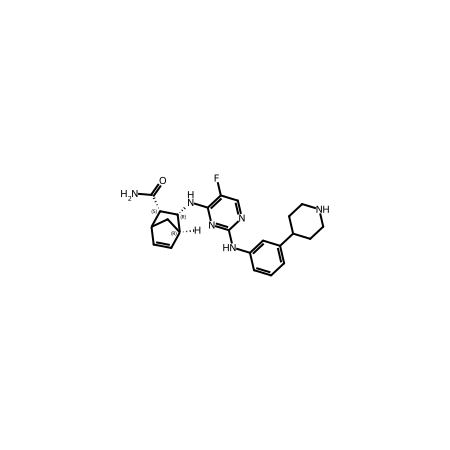 NC(=O)[C@H]1C2C=C[C@@H](C2)[C@H]1Nc1nc(Nc2cccc(C3CCNCC3)c2)ncc1F